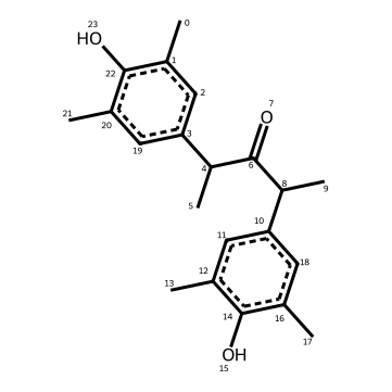 Cc1cc(C(C)C(=O)C(C)c2cc(C)c(O)c(C)c2)cc(C)c1O